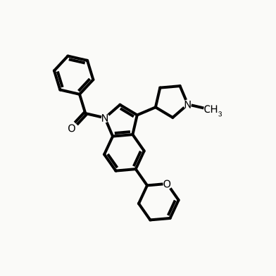 CN1CCC(c2cn(C(=O)c3ccccc3)c3ccc(C4CCC=CO4)cc23)C1